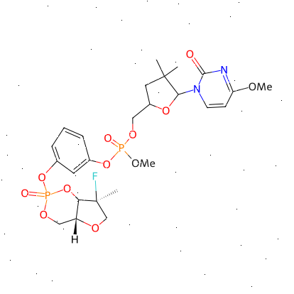 COc1ccn(C2OC(COP(=O)(OC)Oc3cccc(OP4(=O)OC[C@H]5OC[C@](C)(F)C5O4)c3)CC2(C)C)c(=O)n1